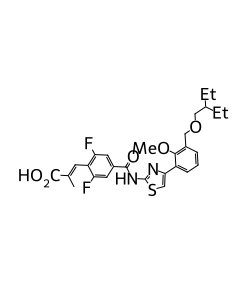 CCC(CC)COCc1cccc(-c2csc(NC(=O)c3cc(F)c(C=C(C)C(=O)O)c(F)c3)n2)c1OC